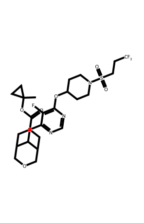 CC1(OC(=O)N2CC3COCC(C2)C3Oc2ncnc(OC3CCN(S(=O)(=O)CCC(F)(F)F)CC3)c2F)CC1